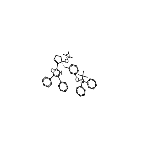 CC(C)(C)[Si](Oc1cccc(C[C@@]2(O[Si](C)(C)C)CCC=C2c2nc(-c3ccccc3)c(-c3ccccc3)o2)c1)(c1ccccc1)c1ccccc1